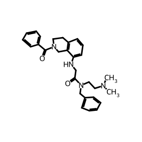 CN(C)CCN(Cc1ccccc1)C(=O)CNc1cccc2c1CN(C(=O)c1ccccc1)CC2